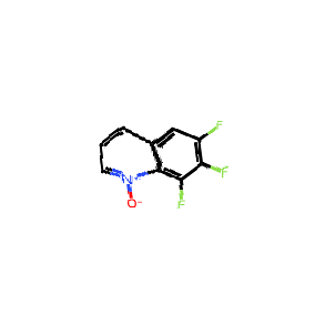 [O-][n+]1cccc2cc(F)c(F)c(F)c21